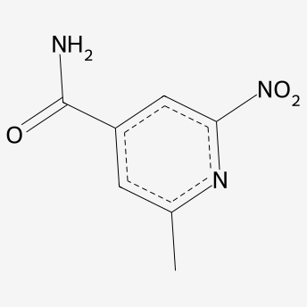 Cc1cc(C(N)=O)cc([N+](=O)[O-])n1